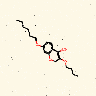 CCCCCCOc1ccc2c(c1)OCC(OCCCC)=C2O